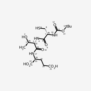 C[C@@H](O)[C@H](NC(=O)[C@H](CS)NC(=O)OC(C)(C)C)C(=O)N[C@@H](CCC(=O)O)C(=O)O